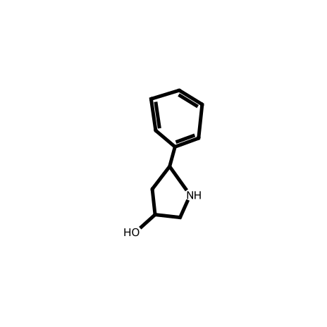 OC1CNC(c2ccccc2)C1